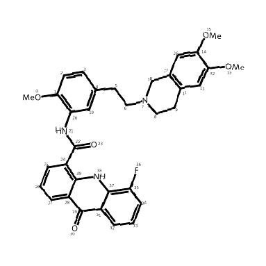 COc1ccc(CCN2CCc3cc(OC)c(OC)cc3C2)cc1NC(=O)c1cccc2c(=O)c3cccc(F)c3[nH]c12